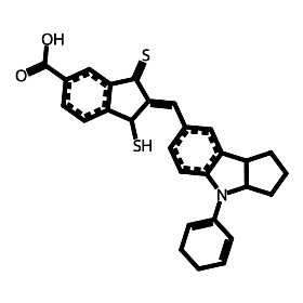 O=C(O)c1ccc2c(c1)C(=S)/C(=C/c1ccc3c(c1)C1CCCC1N3C1=CCCC=C1)C2S